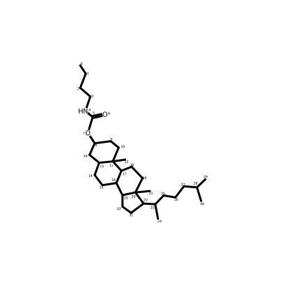 CCCCNC(=O)OC1CCC2(C)C(CCC3C2CCC2(C)C(C(C)CCCC(C)C)CCC32)C1